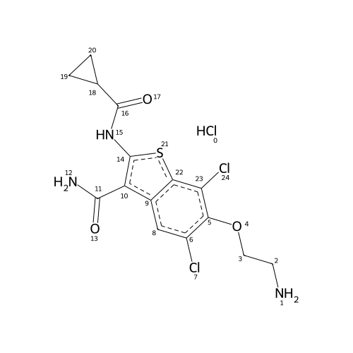 Cl.NCCOc1c(Cl)cc2c(C(N)=O)c(NC(=O)C3CC3)sc2c1Cl